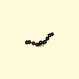 c1ccc2cc(-c3ccc(-c4ccc5oc6c(ccc7c8cc(-c9ccc(-c%10ccc%11ccccc%11c%10)cc9)ccc8oc76)c5c4)cc3)ccc2c1